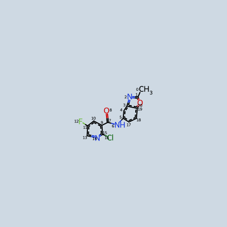 Cc1nc2cc(NC(=O)c3cc(F)cnc3Cl)ccc2o1